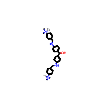 CC[N+](C)(C)c1ccc(CNc2ccc(C(O)c3ccc(NCc4ccc([N+](C)(C)CC)cc4)cc3)cc2)cc1